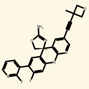 CC1(C#Cc2cnc3c(c2)[C@]2(COC(N)=N2)c2cc(-c4cccnc4F)c(F)cc2O3)COC1